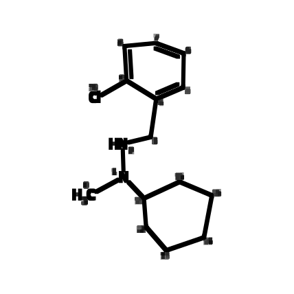 CN(NCc1ccccc1Cl)C1CCCCC1